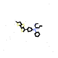 C=C/C=C(\C=C/C)N(c1ccccc1)c1ccc(-c2csc3c2sc2cc(C)sc23)cc1